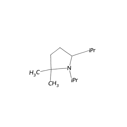 CC(C)C1CCC(C)(C)N1C(C)C